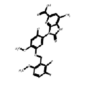 COc1cc(Cl)c(-n2c(=O)[nH]c3c(C)cc(C(=O)O)nc32)cc1OCc1c(OC)ccc(F)c1F